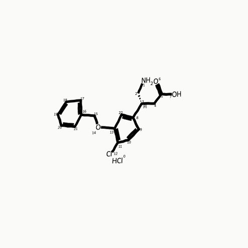 Cl.NC[C@H](CC(=O)O)c1ccc(Cl)c(OCc2ccccc2)c1